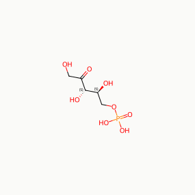 O=C(CO)[C@@H](O)[C@@H](O)COP(=O)(O)O